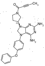 CC#CC(=O)N1CC[C@H](N2CN(c3ccc(Oc4ccccc4)cc3)c3c(N)nc(N)nc32)C1